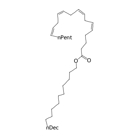 CCCCC/C=C\C/C=C\C/C=C\C/C=C\CCCC(=O)OCCCCCCCCCCCCCCCCCCCC